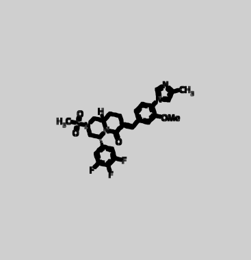 COc1cc(/C=C2\CC[C@H]3CN(S(C)(=O)=O)C[C@@H](c4cc(F)c(F)c(F)c4)N3C2=O)ccc1-n1cnc(C)c1